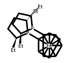 CC[C@H]1CC[C@H](CC)P1[C]12[CH]3[CH]4[CH]5[CH]1[Fe]45321678[CH]2[CH]1[CH]6[C]7(P1[C@@H](CC)CC[C@@H]1CC)[CH]28